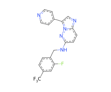 Fc1cc(C(F)(F)F)ccc1CNc1ccc2ncc(-c3ccncc3)n2n1